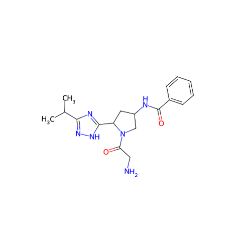 CC(C)c1n[nH]c(C2CC(NC(=O)c3ccccc3)CN2C(=O)CN)n1